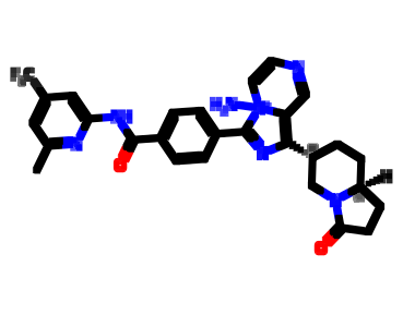 Cc1cc(C(F)(F)F)cc(NC(=O)c2ccc(C3=NC([C@@H]4CC[C@H]5CCC(=O)N5C4)=C4C=NC=C[N+]34N)cc2)n1